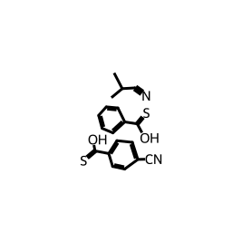 CC(C)C#N.N#Cc1ccc(C(O)=S)cc1.OC(=S)c1ccccc1